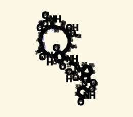 CO[C@H]1/C=C\C=C(/C)C(=O)NC2=CC(=O)C(NCCN(C(=O)O)c3cccc4c3CN(C3CCC(=O)NC3=O)C4=O)=C(C[C@@H](C)C[C@H](OC)[C@@H](O)[C@@H](C)/C=C(\C)[C@@H]1OC(N)=O)C2=O